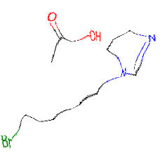 BrCCCCN1C=NCC1.CC(=O)O